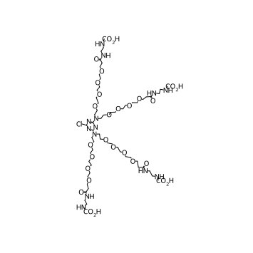 O=C(O)NCCNC(=O)CCOCCOCCOCCOCCN(CCOCCOCCOCCOCCC(=O)NCCNC(=O)O)c1nc(Cl)nc(N(CCOCCOCCOCCOCCC(=O)NCCNC(=O)O)CCOCCOCCOCCOCCC(=O)NCCNC(=O)O)n1